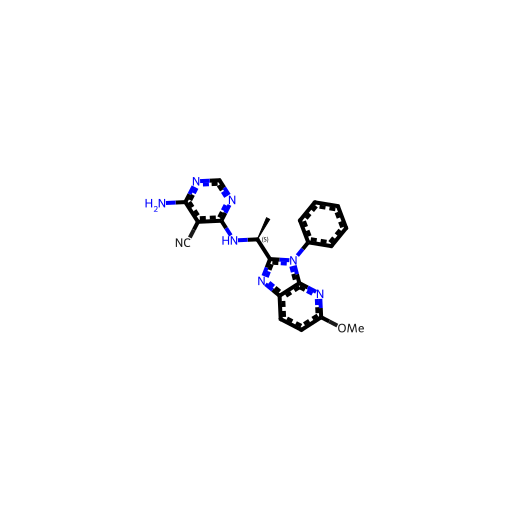 COc1ccc2nc([C@H](C)Nc3ncnc(N)c3C#N)n(-c3ccccc3)c2n1